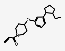 C=CC(=O)N1CCC(Oc2cccc(C3CCCC3CC)c2)CC1